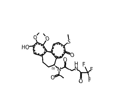 COc1c(O)cc2c(c1OC)-c1ccc(SC)c(=O)cc1[C@@H](N(C(C)=O)C(=O)CNC(=O)C(F)(F)F)CC2